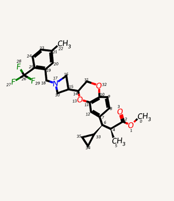 COC(=O)[C@@H](C)[C@H](c1ccc2c(c1)OC(C1CN(Cc3cc(C)ccc3C(F)(F)F)C1)CO2)C1CC1